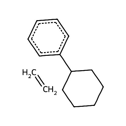 C=C.c1ccc(C2CCCCC2)cc1